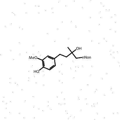 CCCCCCCCCCC(C)(O)CCc1ccc(O)c(OC)c1